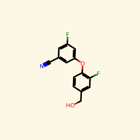 N#Cc1cc(F)cc(Oc2ccc(CO)cc2F)c1